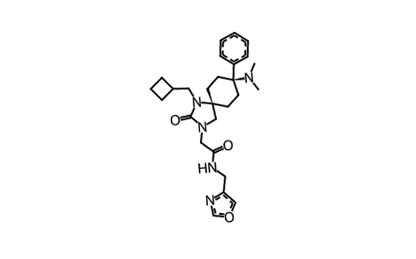 CN(C)[C@]1(c2ccccc2)CC[C@@]2(CC1)CN(CC(=O)NCc1cocn1)C(=O)N2CC1CCC1